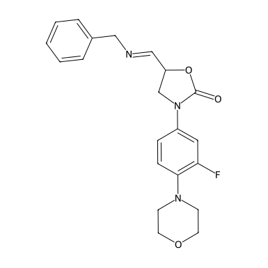 O=C1OC(C=NCc2ccccc2)CN1c1ccc(N2CCOCC2)c(F)c1